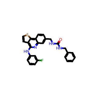 O=C(NCc1ccccc1)NCc1ccc2c(c1)nc(Nc1cccc(F)c1)c1ccsc12